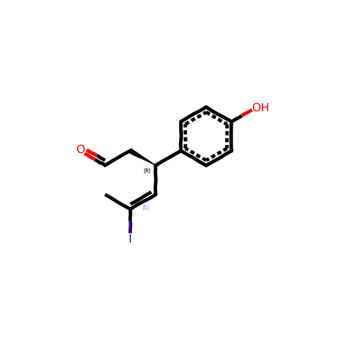 C/C(I)=C\[C@@H](CC=O)c1ccc(O)cc1